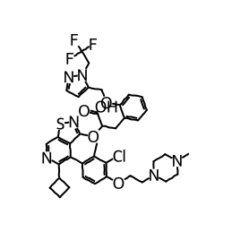 Cc1c(-c2c(C3CCC3)ncc3snc(OC(Cc4ccccc4OCc4ccnn4CC(F)(F)F)C(=O)O)c23)ccc(OCCN2CCN(C)CC2)c1Cl